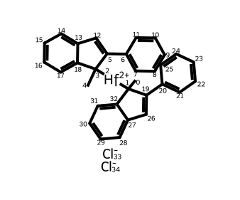 C[C]1([Hf+2][C]2(C)C(c3ccccc3)=Cc3ccccc32)C(c2ccccc2)=Cc2ccccc21.[Cl-].[Cl-]